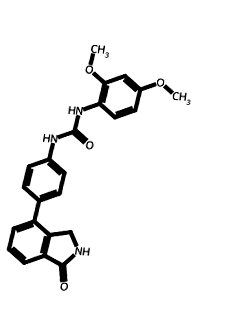 COc1ccc(NC(=O)Nc2ccc(-c3cccc4c3CNC4=O)cc2)c(OC)c1